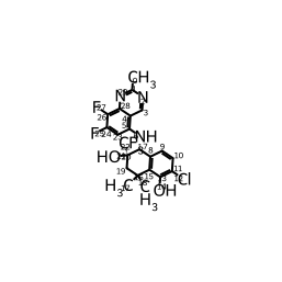 Cc1ncc2c(N[C@@H]3c4ccc(Cl)c(O)c4C(C)(C)C[C@]3(O)C(F)(F)F)cc(F)c(F)c2n1